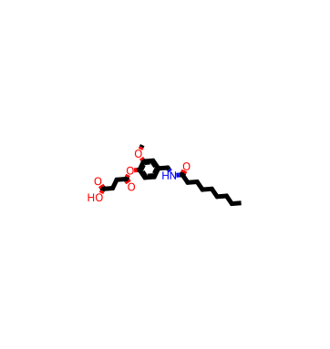 CCCCCCCCC(=O)NCc1ccc(OC(=O)CCC(=O)O)c(OC)c1